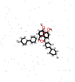 COc1ccc(C(OC(c2ccc(OC)cc2)[C@H]2CC[C@H]([C@H]3CC[C@H](C)CC3)CC2)[C@H]2CC[C@H]([C@H]3CC[C@H](C)CC3)CC2)cc1